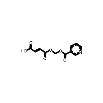 O=C(O)/C=C/C(=O)OCOC(=O)c1cccnc1